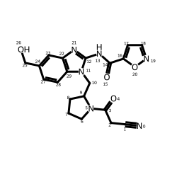 N#CCC(=O)N1CCCC1Cn1c(NC(=O)c2ccno2)nc2cc(CO)ccc21